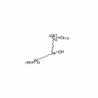 CCCCCCCCCOC(=O)CCCCCCCCN(CCO)CCCCCCCC(=O)OC(CCCCCCCC)CCCCCCCC